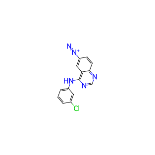 N#[N+]c1ccc2ncnc(Nc3cccc(Cl)c3)c2c1